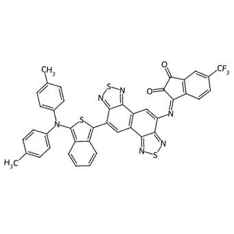 Cc1ccc(N(c2ccc(C)cc2)c2sc(-c3cc4c(cc(/N=c5\c(=O)c(=O)c6cc(C(F)(F)F)ccc56)c5nsnc54)c4nsnc34)c3ccccc23)cc1